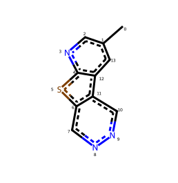 Cc1cnc2sc3cnncc3c2c1